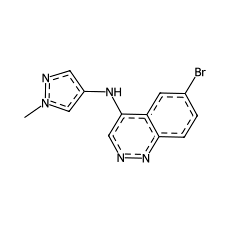 Cn1cc(Nc2cnnc3ccc(Br)cc23)cn1